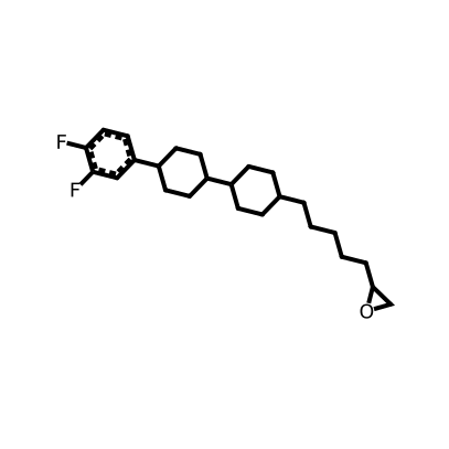 Fc1ccc(C2CCC(C3CCC(CCCCCC4CO4)CC3)CC2)cc1F